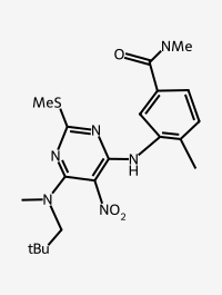 CNC(=O)c1ccc(C)c(Nc2nc(SC)nc(N(C)CC(C)(C)C)c2[N+](=O)[O-])c1